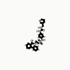 O=C(NCc1cccnc1)Nc1ccc(NS(=O)(=O)CCNC(=O)c2ccccc2-c2ccccc2)cc1